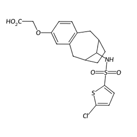 O=C(O)COc1ccc2c(c1)CC1CCC(C2)C1NS(=O)(=O)c1ccc(Cl)s1